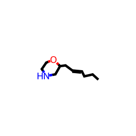 CCCC=CCC1CNCCO1